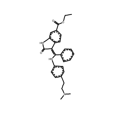 CCOC(=O)c1ccc2c(c1)NC(=O)/C2=C(\Nc1ccc(CCN(C)C)cc1)c1ccccc1